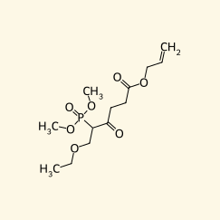 C=CCOC(=O)CCC(=O)C(COCC)P(=O)(OC)OC